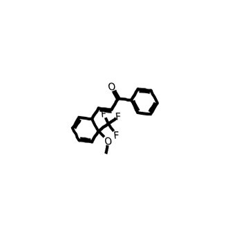 COC1(C(F)(F)F)C=CC=CC1/C=C/C(=O)c1ccccc1